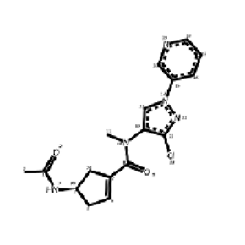 CC(=O)N[C@@H]1CC=C(C(=O)N(C)c2cn(-c3cccnc3)nc2Cl)C1